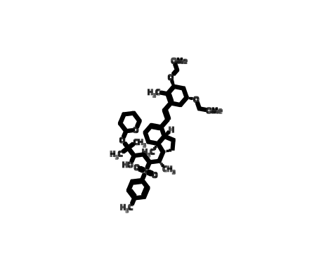 COCO[C@@H]1CC(C=CC2=CCC[C@]3(C)[C@@H]([C@H](C)C(CC(O)C(C)(C)OC4CCCCO4)S(=O)(=O)c4ccc(C)cc4)CC[C@@H]23)=C(C)[C@@H](OCOC)C1